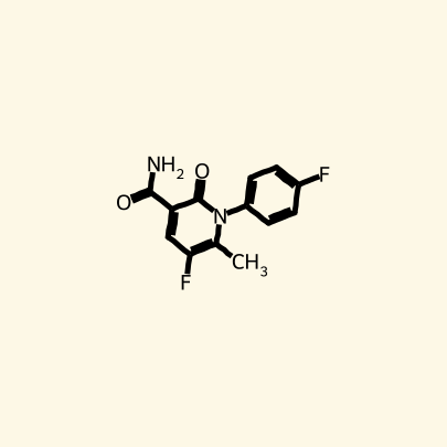 Cc1c(F)cc(C(N)=O)c(=O)n1-c1ccc(F)cc1